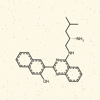 CC(C)C[C@H](N)CNc1nc(-c2cc3ccccc3cc2O)nc2ccccc12